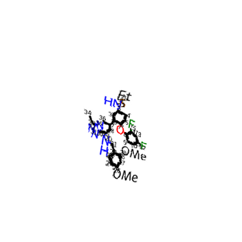 CCSNc1ccc(Oc2ccc(F)cc2F)c(-c2cc(NCc3ccc(OC)cc3OC)c3nnc(C)n3c2)c1